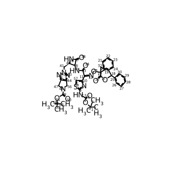 CC(C)(C)OC(=O)Nc1nc(/C(=N/OC2(C(=O)OC(c3ccccc3)c3ccccc3)CC2)C(=O)N[C@@H]2C(=O)N[C@@H]2Cn2nc3c(n2)CN(C(=O)OC(C)(C)C)C3)cs1